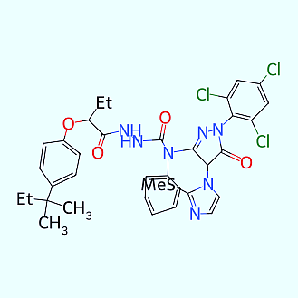 CCC(Oc1ccc(C(C)(C)CC)cc1)C(=O)NNC(=O)N(C1=NN(c2c(Cl)cc(Cl)cc2Cl)C(=O)C1n1ccnc1SC)c1ccccc1